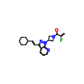 C=C(F)C(=O)N1CC(n2nc(/C=C/C3CCCCC3)c3cccnc32)C1